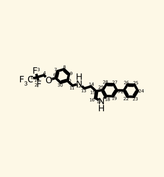 FC(F)(F)C(F)(F)COc1cccc(CNCCc2c[nH]c3cc(-c4ccccc4)ccc23)c1